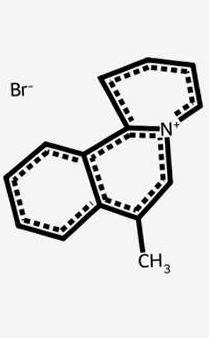 Cc1c[n+]2ccccc2c2ccccc12.[Br-]